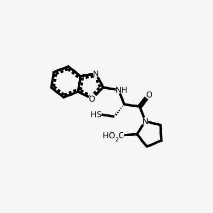 O=C(O)C1CCCN1C(=O)[C@H](CS)Nc1nc2ccccc2o1